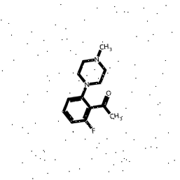 CC(=O)c1c(F)cccc1N1CCN(C)CC1